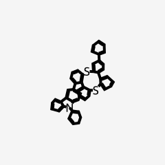 C1=CC(n2c3ccccc3c3cc(-c4cccc5c4-c4ccccc4Sc4ccccc4-c4ccc(-c6ccccc6)cc4S5)ccc32)=CCC1